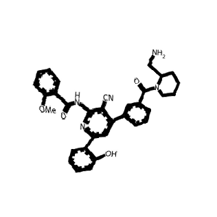 COc1ccccc1C(=O)Nc1nc(-c2ccccc2O)cc(-c2cccc(C(=O)N3CCCCC3CN)c2)c1C#N